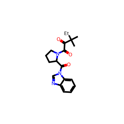 CCC(C)(C)C(=O)C(=O)N1CCCC1C(=O)n1cnc2ccccc21